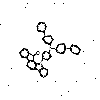 O=C1c2ccccc2-c2ccc3c4ccccc4n(-c4ccc(N(c5ccc(-c6ccccc6)cc5)c5ccc(-c6ccccc6)cc5)cc4)c3c21